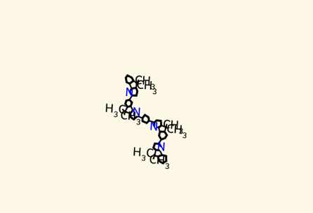 CC1(C)c2ccccc2-c2nc(-c3ccc4c(c3)-c3nc(-c5ccc(-c6ccc7c(n6)-c6cc(-c8ccc9c(n8)-c8ccccc8C9(C)C)ccc6C7(C)C)cc5)ccc3C4(C)C)ccc21